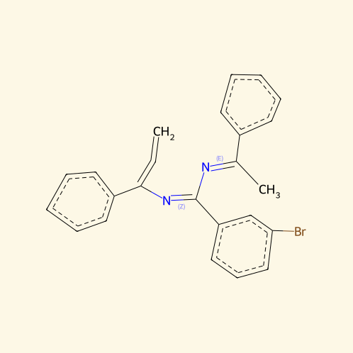 C=C=C(/N=C(\N=C(/C)c1ccccc1)c1cccc(Br)c1)c1ccccc1